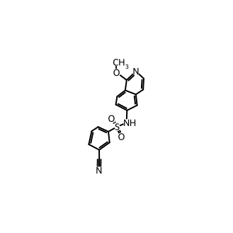 COc1nccc2cc(NS(=O)(=O)c3cccc(C#N)c3)ccc12